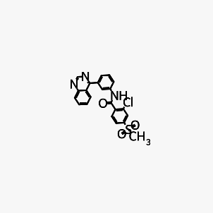 CS(=O)(=O)c1ccc(C(=O)Nc2cccc(-c3ncnc4ccccc34)c2)c(Cl)c1